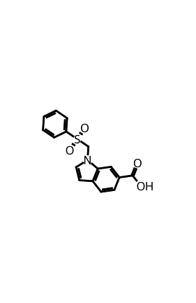 O=C(O)c1ccc2ccn(CS(=O)(=O)c3ccccc3)c2c1